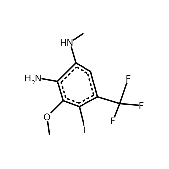 CNc1cc(C(F)(F)F)c(I)c(OC)c1N